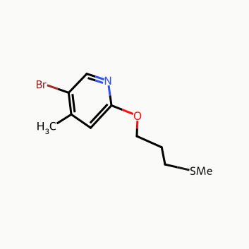 CSCCCOc1cc(C)c(Br)cn1